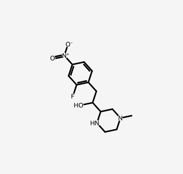 CN1CCNC(C(O)Cc2ccc([N+](=O)[O-])cc2F)C1